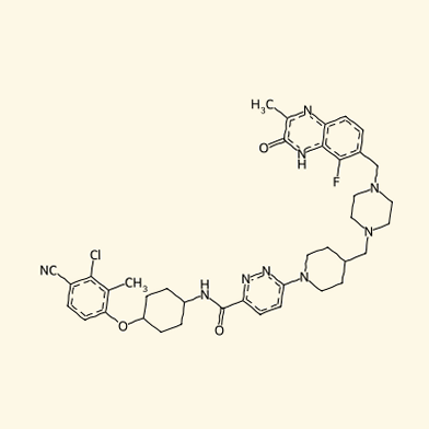 Cc1c(OC2CCC(NC(=O)c3ccc(N4CCC(CN5CCN(Cc6ccc7nc(C)c(=O)[nH]c7c6F)CC5)CC4)nn3)CC2)ccc(C#N)c1Cl